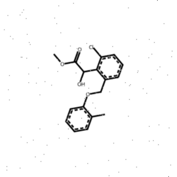 COC(=O)C(O)c1c(Cl)cccc1COc1ccccc1C